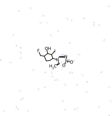 C=CN(/C=N\[N+](=O)[O-])C1CCC(CF)C(O)C1I